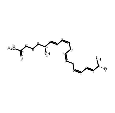 CC[C@@H](O)/C=C/C=C\C/C=C\C/C=C\C=C\[C@@H](O)CCCC(=O)OC